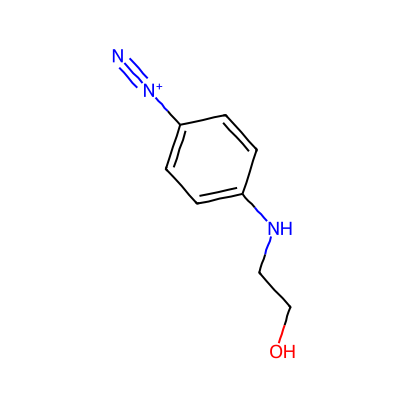 N#[N+]c1ccc(NCCO)cc1